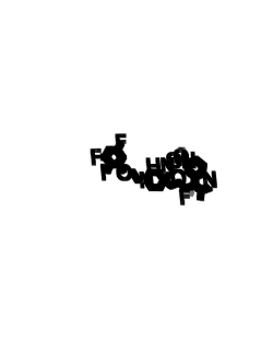 COc1ccc2ncc(C)c([C@H](F)CCC3(C(=O)NO)CCN(CCOc4cc(F)cc(F)c4F)CC3)c2c1